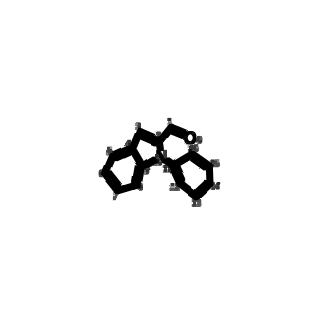 O=Cc1cc2ccccc2n1-c1ccccc1